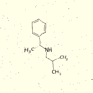 CC(C)CN[C@H](C)c1ccccc1